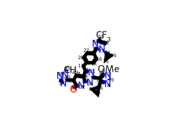 COc1ncnc(C2CC2)c1-c1nc(Cc2ccc(-c3nc(C(F)(F)F)cn3C3CC3)cc2)c2c(n1)=NC(=O)C(c1ncnn1C)C=2